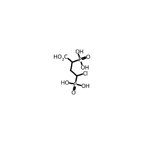 O=C(O)C(CC(Cl)P(=O)(O)O)P(=O)(O)O